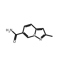 Cc1cc2ccc(C(N)=O)cn2n1